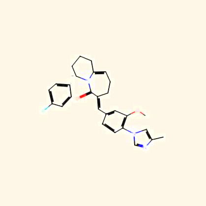 COc1cc(C=C2CCC=C3CCC[C@@H](c4ccc(F)cc4)N3C2=O)ccc1-n1cnc(C)c1